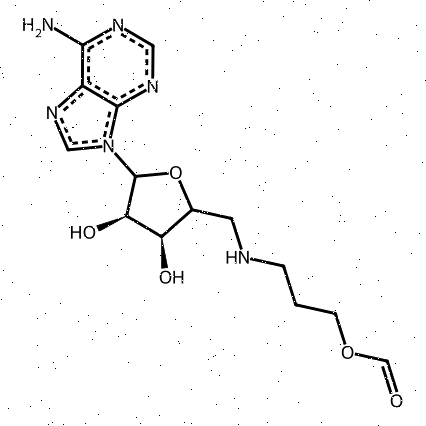 Nc1ncnc2c1ncn2C1OC(CNCCCOC=O)[C@@H](O)[C@H]1O